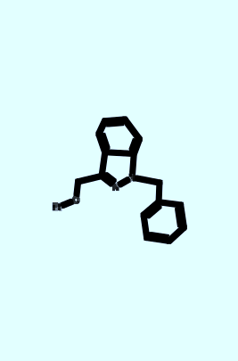 CCOCc1nn(Cc2ccccc2)c2ccccc12